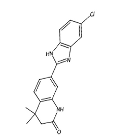 CC1(C)CC(=O)Nc2cc(-c3nc4cc(Cl)ccc4[nH]3)ccc21